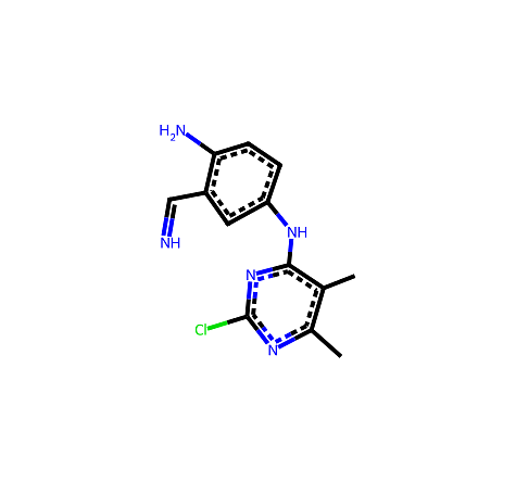 Cc1nc(Cl)nc(Nc2ccc(N)c(C=N)c2)c1C